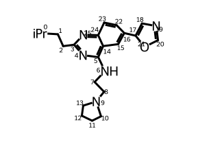 CC(C)CCc1nc(NCCN2CCCC2)c2cc(-c3cnco3)ccc2n1